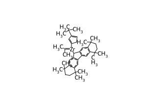 C[C](C)=[Zr]([C]1=CC(C(C)(C)C)=CC1)[CH]1c2cc3c(cc2-c2cc4c(cc21)C(C)(C)CCC4(C)C)C(C)(C)CCC3(C)C